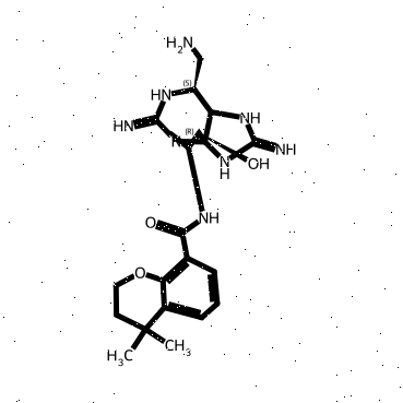 CC1(C)CCOc2c(C(=O)NC3CN4C(=N)N[C@@H](CN)C5NC(=N)NC54[C@@H]3O)cccc21